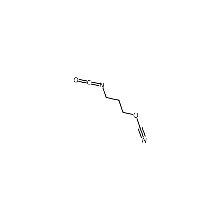 N#COCCCN=C=O